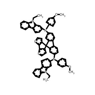 CCn1c2ccccc2c2ccc(N(c3ccc(OC)cc3)c3ccc4c(c3)C3(c5cc(N(c6ccc(OC)cc6)c6ccc7c8ccccc8n(CC)c7c6)ccc5-4)c4ccsc4-c4sccc43)cc21